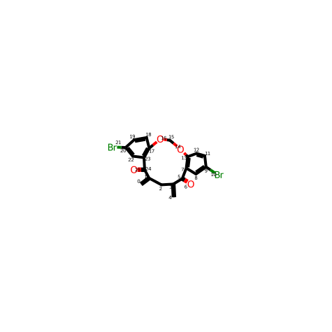 C=C1CC(=C)C(=O)c2cc(Br)ccc2OCOc2ccc(Br)cc2C1=O